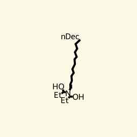 CCCCCCCCCCCCCCCCCCCCCC=CN(C(O)CC)C(O)CC